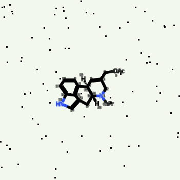 CCCN1CC(COC(C)=O)=C[C@@H]2c3cccc4[nH]cc(c34)C[C@H]21